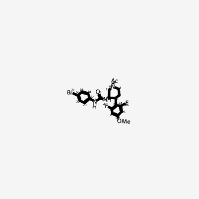 COc1cc(F)c(C2CCN(C(C)=O)CC2NC(=O)Nc2ccc(Br)cc2)c(F)c1